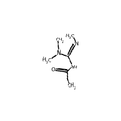 C/N=C(/NC(C)=O)N(C)C